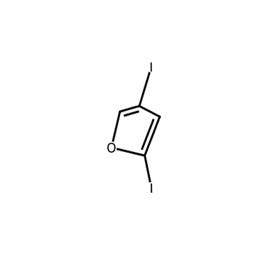 Ic1coc(I)c1